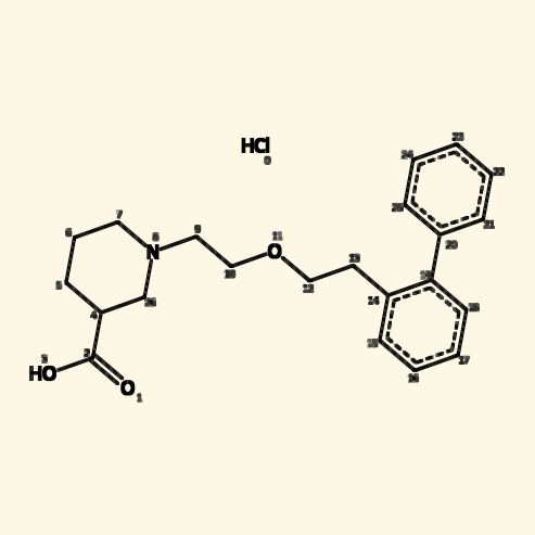 Cl.O=C(O)C1CCCN(CCOCCc2ccccc2-c2ccccc2)C1